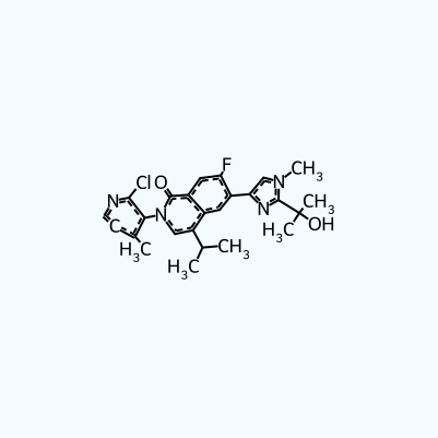 Cc1ccnc(Cl)c1-n1cc(C(C)C)c2cc(-c3cn(C)c(C(C)(C)O)n3)c(F)cc2c1=O